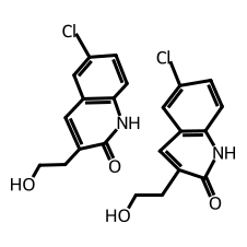 O=c1[nH]c2ccc(Cl)cc2cc1CCO.O=c1[nH]c2ccc(Cl)cc2cc1CCO